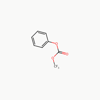 O=C(Oc1ccccc1)OC(F)(F)F